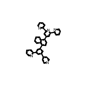 c1ccc(-c2cc(-c3ccncc3)cc(-c3ccc(-c4cc(-c5ccccn5)nc(-c5ccccn5)c4)c4ccccc34)c2)nc1